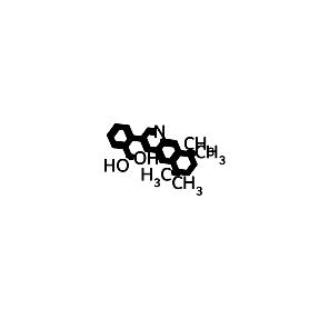 CC1(C)CCC(C)(C)c2cc3ncc(-c4ccccc4C(O)O)cc3cc21